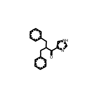 O=C(c1c[nH]cn1)C(Cc1ccccc1)Cc1ccccc1